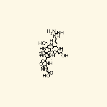 C[C@H](C(=O)N[C@@H](CCCNC(=N)N)C(=O)N[C@@H](CO)C(=O)N[C@@H](CO)C(=O)N[C@H](C(=O)N[C@@H](CCC(=O)O)C(N)=O)[C@@H](C)O)[C@@H](C)O